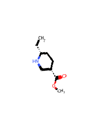 CC[C@@H]1CC[C@H](C(=O)OC)CN1